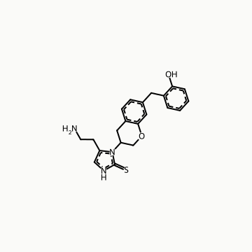 NCCc1c[nH]c(=S)n1C1COc2cc(Cc3ccccc3O)ccc2C1